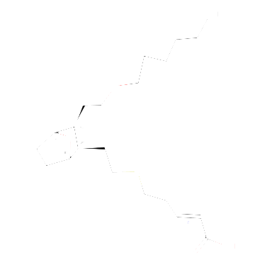 CCCCCCOCC[C@H]1[C@@H](CCSCC/C=C/C(=O)O)[C@H]2CC[C@@H]1O2